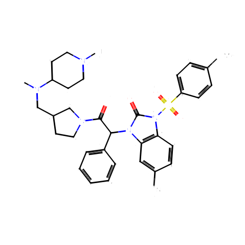 COc1ccc(S(=O)(=O)n2c(=O)n(C(C(=O)N3CCC(CN(C)C4CCN(C)CC4)C3)c3ccccc3)c3cc(C#N)ccc32)cc1